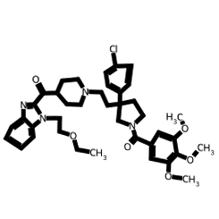 CCOCCn1c(C(=O)C2CCN(CCC3(c4ccc(Cl)cc4)CCN(C(=O)c4cc(OC)c(OC)c(OC)c4)C3)CC2)nc2ccccc21